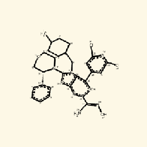 CC1CCC(Cn2c(N3CCOC[C@H]3c3ccccc3)nc3nc(C(N)=NO)nc(-c4cc(Cl)nc(Cl)c4)c32)CC1